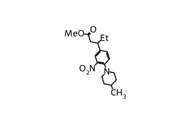 CCC(CC(=O)OC)c1ccc(N2CCC(C)CC2)c([N+](=O)[O-])c1